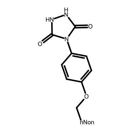 CCCCCCCCCCOc1ccc(-n2c(=O)[nH][nH]c2=O)cc1